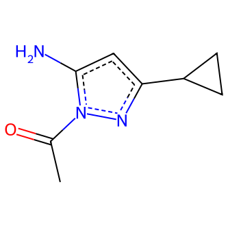 CC(=O)n1nc(C2CC2)cc1N